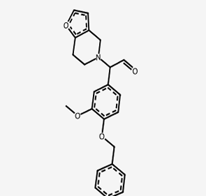 COc1cc(C(C=O)N2CCc3occc3C2)ccc1OCc1ccccc1